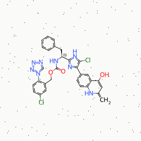 C=C1C=C(O)c2cc(-c3nc([C@H](Cc4ccccc4)NC(=O)OCc4cc(Cl)ccc4-n4cnnn4)[nH]c3Cl)ccc2N1